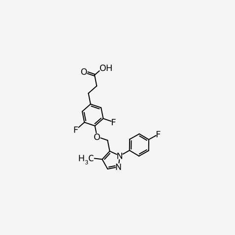 Cc1cnn(-c2ccc(F)cc2)c1COc1c(F)cc(CCC(=O)O)cc1F